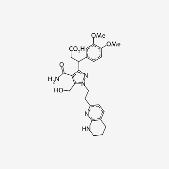 COc1ccc(C(CC(=O)O)c2nn(CCc3ccc4c(n3)NCCC4)c(CO)c2C(N)=O)cc1OC